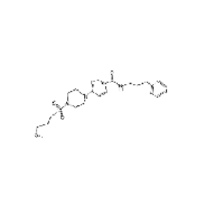 CCCCS(=O)(=O)N1CCN(c2ccc(C(=O)NCCCc3ccccc3)cn2)CC1